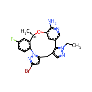 CCn1ncc2c1-c1cnc(N)c(c1)O[C@H](C)c1cc(F)ccc1-n1nc(Br)cc1C2